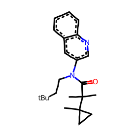 CC(C)(C)CCN(C(=O)C(C)(C)C1(C)CC1)c1cnc2ccccc2c1